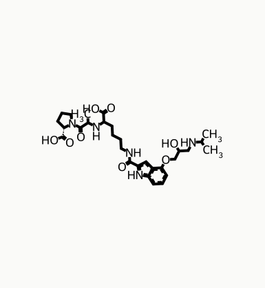 CC(C)NCC(O)COc1cccc2[nH]c(C(=O)NCCCCC(NC(C)C(=O)N3CCC[C@H]3C(=O)O)C(=O)O)cc12